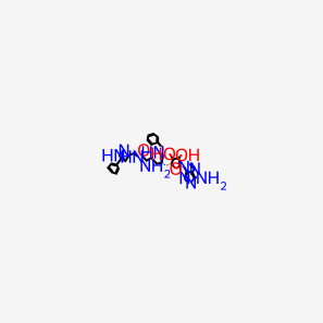 Nc1ncnc2c1ncn2[C@@H]1O[C@H](C[C@H](CC[C@H](N)C(=O)NCc2cc(-c3ccccc3)[nH]n2)CNCc2ccccc2)C(O)C1O